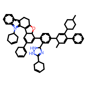 CC1CCC(C2=CC(c3ccc(C4=CC(C5=CC=CCC5)=CC5C6=C(CCc7c6n(C6CC=CCC6)c6ccccc76)OC45)c(C4N=C(C5CC=CCC5)NN4)c3)C(C)C=C2c2ccccc2)CC1